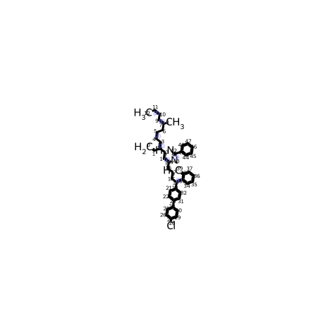 C=C/C(=C\C=C/C/C(C)=C/C=C\C)C/C=C(CCC/C(c1ccc(-c2ccc(Cl)cc2)cc1)=c1/ccccc1=C)\N=C(/N)c1ccccc1